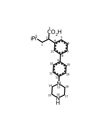 CC(C)CC(C(=O)O)c1cccc(-c2ccc(N3CCNCC3)cc2)c1